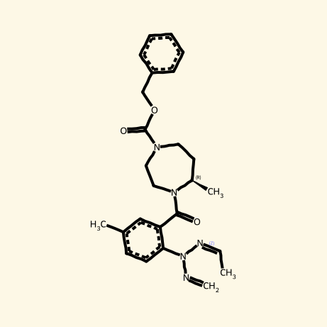 C=NN(/N=C\C)c1ccc(C)cc1C(=O)N1CCN(C(=O)OCc2ccccc2)CC[C@H]1C